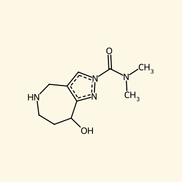 CN(C)C(=O)n1cc2c(n1)C(O)CCNC2